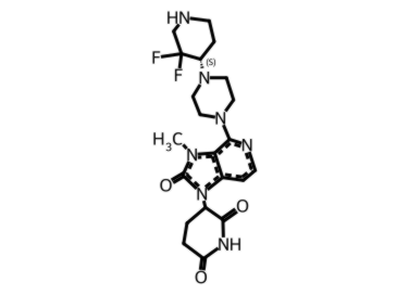 Cn1c(=O)n(C2CCC(=O)NC2=O)c2ccnc(N3CCN([C@H]4CCNCC4(F)F)CC3)c21